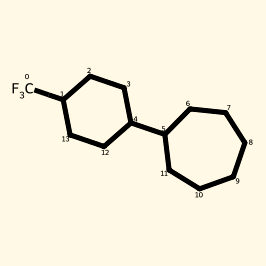 FC(F)(F)C1CCC(C2CCCCCC2)CC1